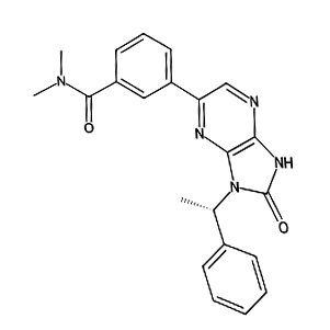 C[C@@H](c1ccccc1)n1c(=O)[nH]c2ncc(-c3cccc(C(=O)N(C)C)c3)nc21